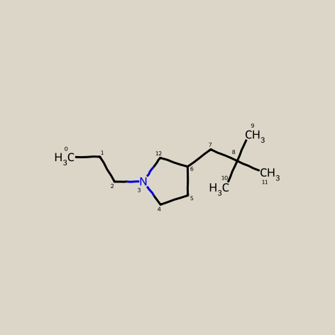 CCCN1CCC(CC(C)(C)C)C1